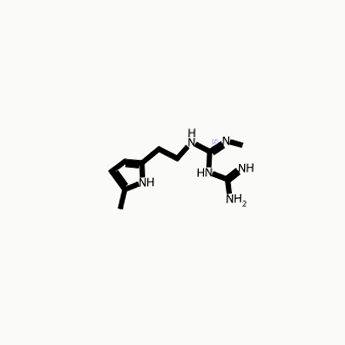 C/N=C(/NCCc1ccc(C)[nH]1)NC(=N)N